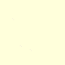 CN(C)c1cccc(-c2c[nH]c3ncc(-c4cccc(O)c4)cc23)c1